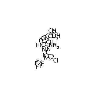 CC(C)(Cc1coc(C2(C)C(=O)Nc3nc(-c4nn(CCC(F)(F)C(F)(F)F)c5cc(Cl)ccc45)nc(N)c32)n1)C(=O)O